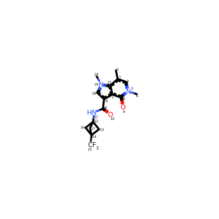 Cc1cn(C)c(=O)c2c(C(=O)NC34CC(C(F)(F)F)(C3)C4)cn(C)c12